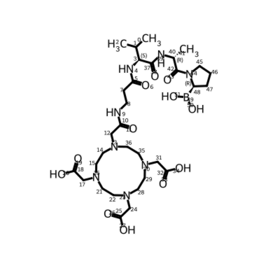 CC(C)[C@H](NC(=O)CCNC(=O)CN1CCN(CC(=O)O)CCN(CC(=O)O)CCN(CC(=O)O)CC1)C(=O)N[C@H](C)C(=O)N1CCC[C@H]1B(O)O